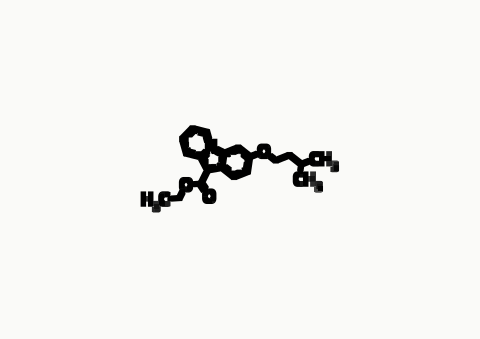 CCOC(=O)c1c2ccc(OCCC(C)C)cc2n2ccccc12